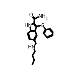 CCCCNCc1ccc2[nH]c(C(N)=O)c(Sc3ccccc3)c2c1